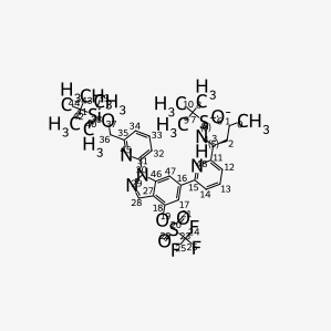 CCC[C@H](N[S@+]([O-])C(C)(C)C)c1cccc(-c2cc(OS(=O)(=O)C(F)(F)F)c3cnn(-c4cccc(CO[Si](C)(C)C(C)(C)C)n4)c3c2)n1